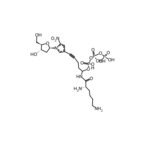 NCCCC[C@H](N)C(=O)NC(CCC#Cc1cc([N+](=O)[O-])n([C@H]2C[C@H](O)[C@@H](CO)O2)c1)OP(=O)(O)OP(=O)(O)OP(=O)(O)O